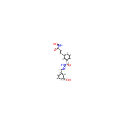 O=C(/C=C/c1cccc(C(=O)N/N=C/c2cccc(O)c2)c1)NO